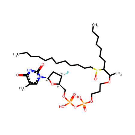 CCCCCCCCCCCC[S+]([O-])C(CCCCCCC)C(C)OCCCOP(=O)(O)OP(=O)(O)OC[C@H]1O[C@@H](n2cc(C)c(=O)[nH]c2=O)C[C@@H]1F